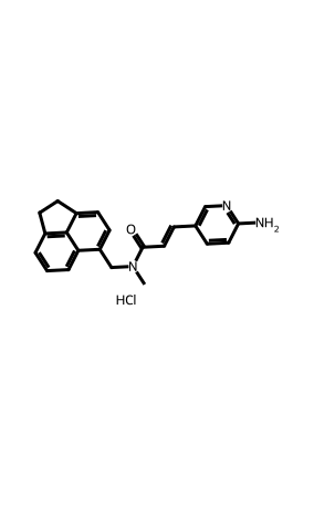 CN(Cc1ccc2c3c(cccc13)CC2)C(=O)C=Cc1ccc(N)nc1.Cl